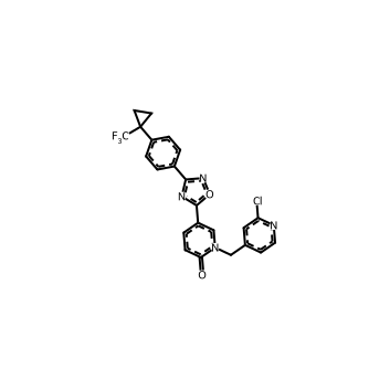 O=c1ccc(-c2nc(-c3ccc(C4(C(F)(F)F)CC4)cc3)no2)cn1Cc1ccnc(Cl)c1